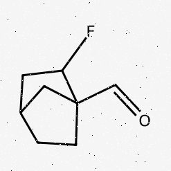 O=CC12CCC(CC1F)C2